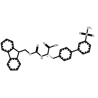 CS(=O)(=O)c1cccc(-c2ccc(C[C@H](NC(=O)OCC3c4ccccc4-c4ccccc43)C(=O)O)cc2)c1